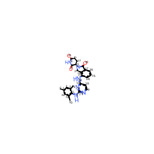 Cc1cc(C)c(Nc2nccc(Nc3cccc4c3CN(C3CCC(=O)NC3=O)C4=O)n2)c(C)c1